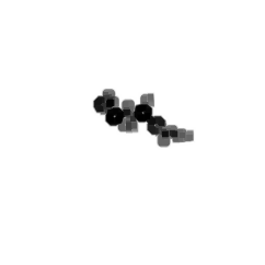 CC(C)(C)OC(=O)N1CCC(c2cc(Cl)cc(NC(=O)c3cc(N4CCCS4(=O)=O)ccc3Cl)c2)CC1